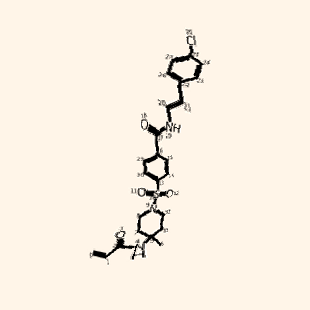 C=CC(=O)NC1(C)CCN(S(=O)(=O)c2ccc(C(=O)NCCc3ccc(Cl)cc3)cc2)CC1